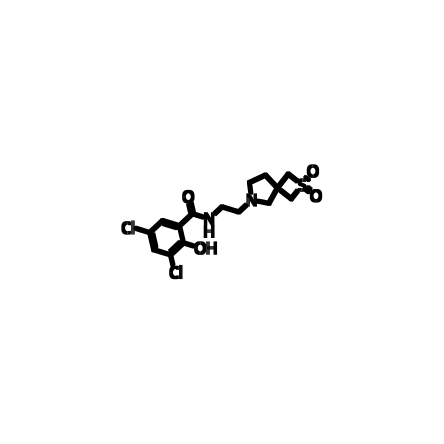 O=C(NCCN1CCC2(C1)CS(=O)(=O)C2)c1cc(Cl)cc(Cl)c1O